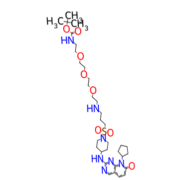 CC(C)(C)OC(=O)NCCOCCOCCOCCNCCCS(=O)(=O)N1CCC(Nc2ncc3ccc(=O)n(C4CCCC4)c3n2)CC1